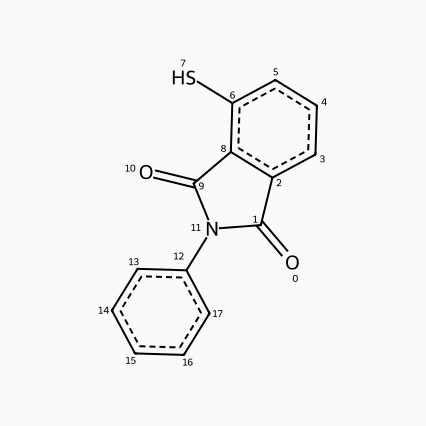 O=C1c2cccc(S)c2C(=O)N1c1ccccc1